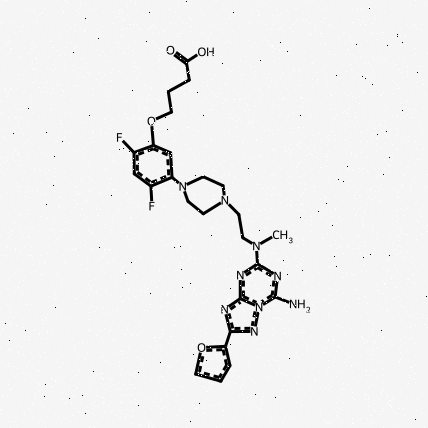 CN(CCN1CCN(c2cc(OCCCC(=O)O)c(F)cc2F)CC1)c1nc(N)n2nc(-c3ccco3)nc2n1